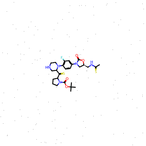 CC(=S)NC[C@H]1CN(c2ccc(N3CCNCC3C(=S)C3CCCN3C(=O)OC(C)(C)C)c(F)c2)C(=O)O1